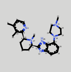 Cc1ccnc([C@@H]2CCC[C@H](c3nc4cccc(N5CCN(C)CC5)c4[nH]3)N2C)c1C